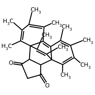 CC1=C(C)C2=C3C(C)=C(C)C(C)=C(C)C34C(C)=C(C)C2(C(C)=C1C)C1C(=O)CC(=O)C14